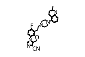 Cc1ccc2c(N3CCN(CCc4c(F)ccc5c4OCc4c(C#N)ncn4-5)CC3)cccc2n1